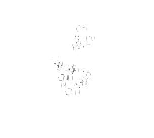 Cc1c(-c2ccc(N3CCc4cccc(C(=O)Nc5nc6cccnc6s5)c4C3)nc2C(=O)NS(=O)(=O)CCCCCC(=O)N[C@H](C(=O)N2CC[C@@H](O)C2)C(C)(C)C)cnn1CC1CCCCC1